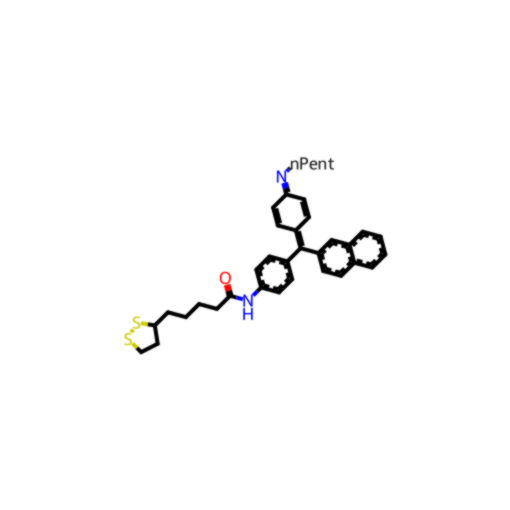 CCCCCN=C1C=CC(=C(c2ccc(NC(=O)CCCCC3CCSS3)cc2)c2ccc3ccccc3c2)C=C1